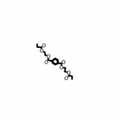 CCC(=O)OCCOC(=O)c1ccc(C(=O)OCCOC(=O)CC)cc1